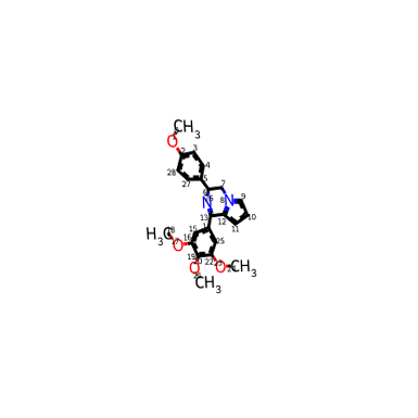 COc1ccc(C2Cn3cccc3C(c3cc(OC)c(OC)c(OC)c3)=N2)cc1